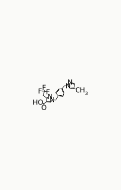 Cc1cnn(Cc2ccc(Cn3cc(C(=O)O)c(CC(F)(F)F)n3)cc2)c1